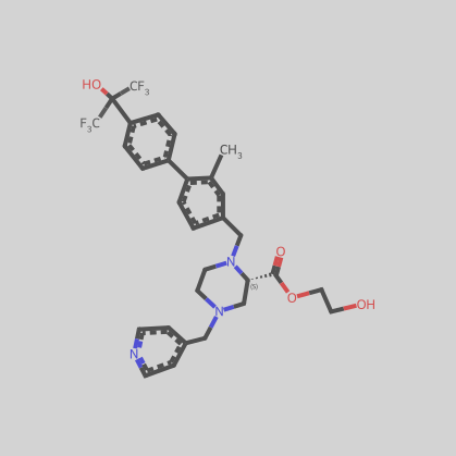 Cc1cc(CN2CCN(Cc3ccncc3)C[C@H]2C(=O)OCCO)ccc1-c1ccc(C(O)(C(F)(F)F)C(F)(F)F)cc1